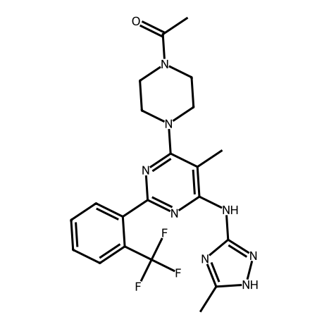 CC(=O)N1CCN(c2nc(-c3ccccc3C(F)(F)F)nc(Nc3n[nH]c(C)n3)c2C)CC1